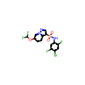 O=S(=O)(Nc1cc(F)c(Br)cc1F)c1cnn2cc(OC(F)F)ccc12